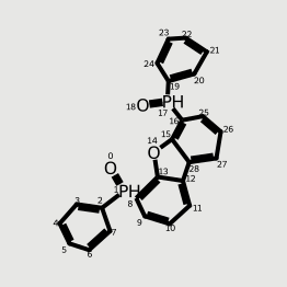 O=[PH](c1ccccc1)c1cccc2c1oc1c([PH](=O)c3ccccc3)cccc12